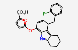 O=C(O)c1ccc(OC2=C3N=C4CCCCC4=C3C(Cc3ccccc3F)C=C2)o1